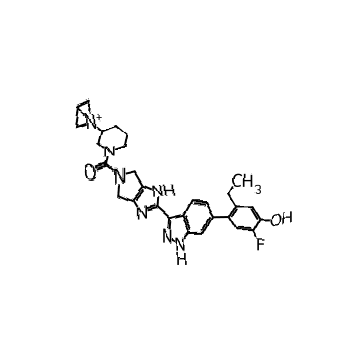 CCc1cc(O)c(F)cc1-c1ccc2c(-c3nc4c([nH]3)CN(C(=O)N3CCCC([N+]56CC5C6)C3)C4)n[nH]c2c1